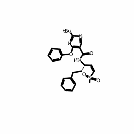 CC(C)(C)c1ncc(C(=O)N[C@H](/C=C\S(C)(=O)=O)CCc2ccccc2)c(Oc2ccccc2)n1